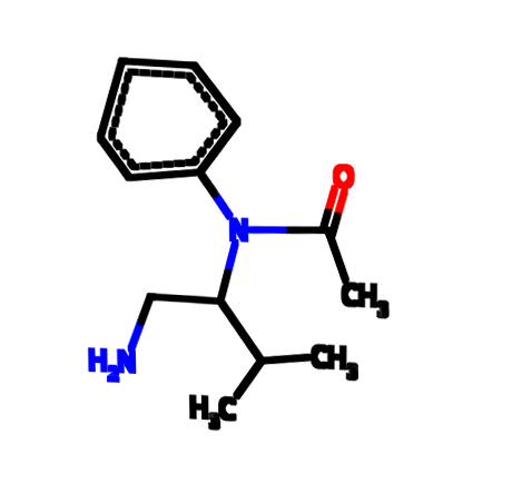 CC(=O)N(c1ccccc1)C(CN)C(C)C